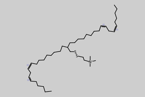 CCCCC/C=C\C/C=C\CCCCCCCCC(CCCCCCCC/C=C\C/C=C\CCCCC)CSSCC[N+](C)(C)C